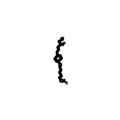 CCCCCCOc1ccc(CCCC(F)C=O)cc1